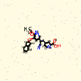 COc1ncc(/C(C#N)=C/c2ccnc(C(=O)O)c2)cc1OC1Cc2ccccc2C1